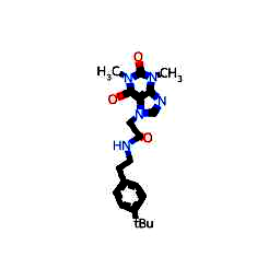 Cn1c(=O)c2c(ncn2CC(=O)NCCc2ccc(C(C)(C)C)cc2)n(C)c1=O